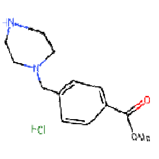 COC(=O)c1ccc(CN2CCNCC2)cc1.Cl